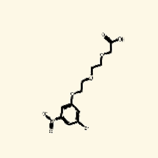 O=C(O)COCCOCCOc1cc(Br)cc([N+](=O)[O-])c1